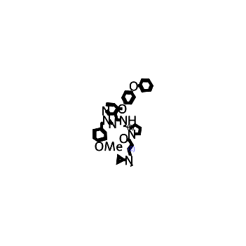 COc1ccc(Cn2nc(NC[C@@H]3CCCN3C(=O)/C=C/CN(C)C3CC3)c3c(Oc4ccc(Oc5ccccc5)cc4)ccnc32)cc1